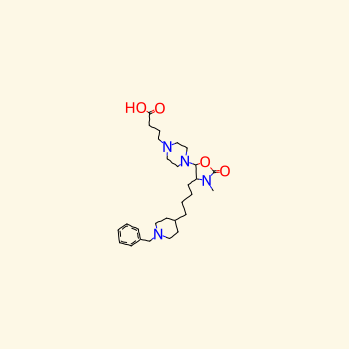 CN1C(=O)OC(N2CCN(CCCC(=O)O)CC2)C1CCCCC1CCN(Cc2ccccc2)CC1